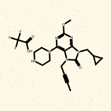 CC#CCn1c(=O)n(CC2CC2)c2nc(OC)nc(N3CCNCC3)c21.O=C(O)C(F)(F)F